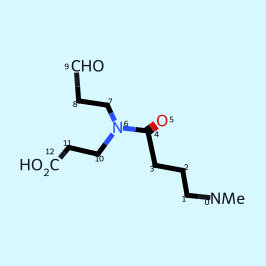 CNCCCC(=O)N(CCC=O)CCC(=O)O